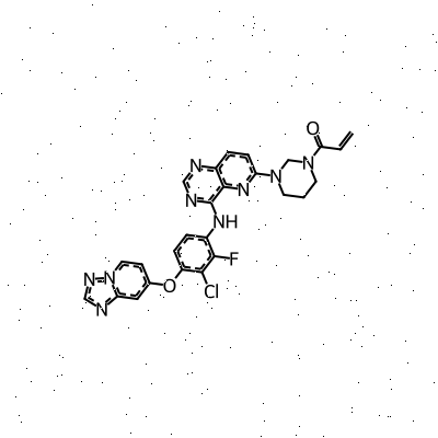 C=CC(=O)N1CCCN(c2ccc3ncnc(Nc4ccc(Oc5ccn6ncnc6c5)c(Cl)c4F)c3n2)C1